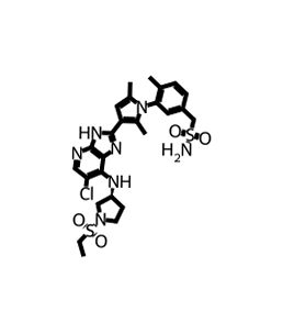 CCS(=O)(=O)N1CC[C@H](Nc2c(Cl)cnc3[nH]c(-c4cc(C)n(-c5cc(CS(N)(=O)=O)ccc5C)c4C)nc23)C1